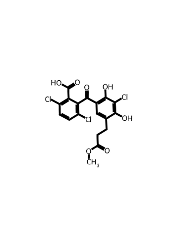 COC(=O)CCc1cc(C(=O)c2c(Cl)ccc(Cl)c2C(=O)O)c(O)c(Cl)c1O